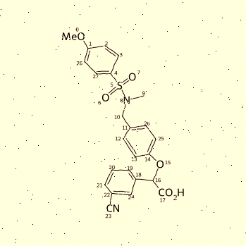 COc1ccc(S(=O)(=O)N(C)Cc2ccc(OC(C(=O)O)c3cccc(C#N)c3)cc2)cc1